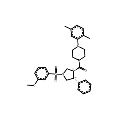 COc1cccc(S(=O)(=O)N2C[C@@H](C(=O)N3CCN(c4cc(C)ccc4C)CC3)[C@H](c3ccccc3)C2)c1